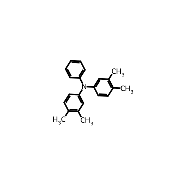 Cc1ccc(N(c2ccccc2)c2ccc(C)c(C)c2)cc1C